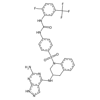 Nc1nc(NC2Cc3ccccc3N(S(=O)(=O)c3ccc(NC(=O)Nc4cc(C(F)(F)F)ccc4F)cc3)C2)c2cn[nH]c2n1